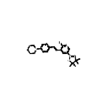 CC1(C)OB(c2cnc(F)c(C=Cc3ccc(N4CCCCC4)cc3)c2)OC1(C)C